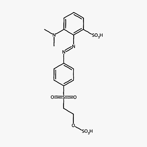 CN(C)c1cccc(S(=O)(=O)O)c1N=Nc1ccc(S(=O)(=O)CCOS(=O)(=O)O)cc1